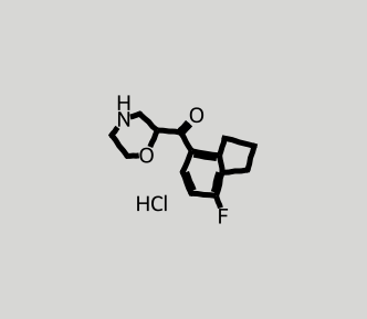 Cl.O=C(c1ccc(F)c2c1CCC2)C1CNCCO1